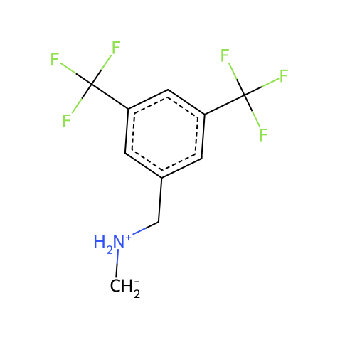 [CH2-][NH2+]Cc1cc(C(F)(F)F)cc(C(F)(F)F)c1